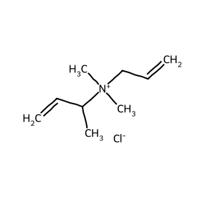 C=CC[N+](C)(C)C(C)C=C.[Cl-]